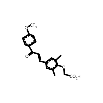 Cc1cc(C=CC(=O)c2ccc(OC(F)(F)F)cc2)cc(C)c1OCC(=O)O